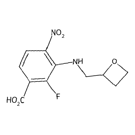 O=C(O)c1ccc([N+](=O)[O-])c(NCC2CCO2)c1F